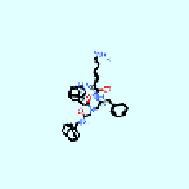 NCCCC[C@H](N)C(=O)N[C@@H](Cc1ccccc1)CN(CC(=O)NCC12CC3CC(CC(C3)C1)C2)C(=O)CC12CC3CC(CC(C3)C1)C2